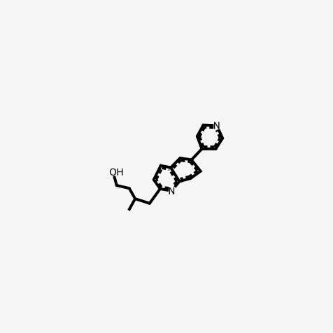 CC(CCO)Cc1ccc2cc(-c3ccncc3)ccc2n1